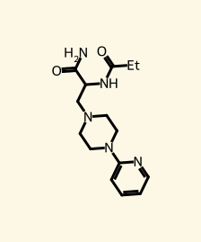 CCC(=O)NC(CN1CCN(c2ccccn2)CC1)C(N)=O